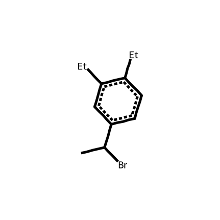 CCc1ccc(C(C)Br)cc1CC